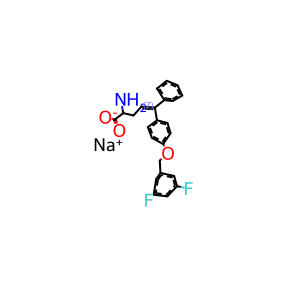 NC(C/C=C(/c1ccccc1)c1ccc(OCc2cc(F)cc(F)c2)cc1)C(=O)[O-].[Na+]